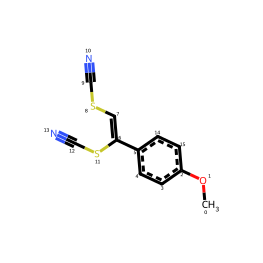 COc1ccc(C(=CSC#N)SC#N)cc1